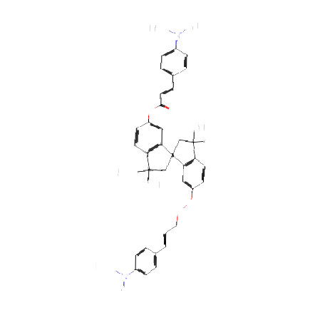 CN(C)c1ccc(/C=C/COOc2ccc3c(c2)C2(CC3(C)C)CC(C)(C)c3ccc(OC(=O)/C=C/c4ccc(N(C)C)cc4)cc32)cc1